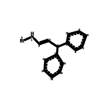 CCNC=CC(c1ccccc1)c1ccccc1